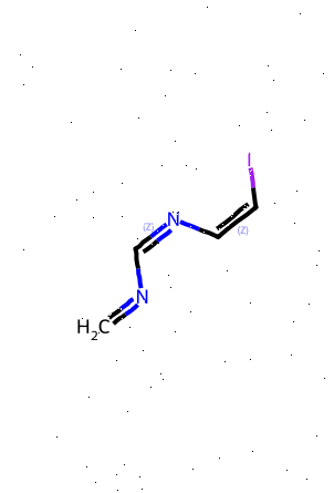 C=N/C=N\C=C/I